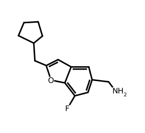 NCc1cc(F)c2oc(CC3CCCC3)cc2c1